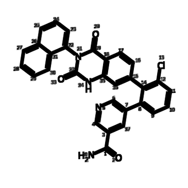 NC(=O)c1cncc(-c2cccc(Cl)c2-c2ccc3c(=O)n(-c4cccc5ccccc45)c(=O)[nH]c3c2)c1